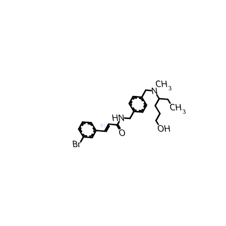 CCC(CCCO)N(C)Cc1ccc(CNC(=O)/C=C/c2cccc(Br)c2)cc1